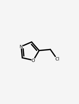 ClCc1cnco1